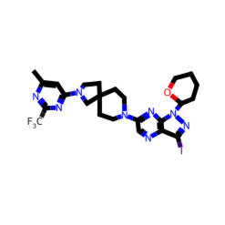 Cc1cc(N2CCC3(CCN(c4cnc5c(I)nn(C6CCCCO6)c5n4)CC3)C2)nc(C(F)(F)F)n1